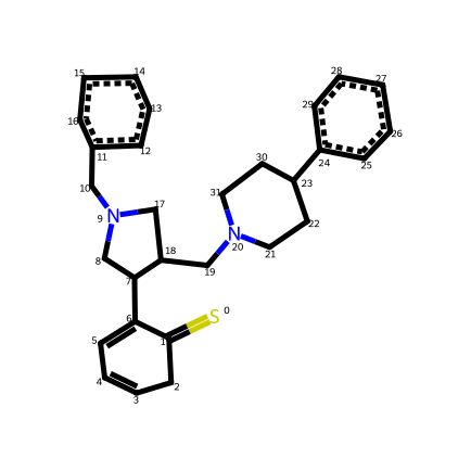 S=C1CC=CC=C1C1CN(Cc2ccccc2)CC1CN1CCC(c2ccccc2)CC1